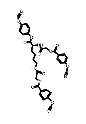 N#COc1ccc(OC(=O)C(CCCCNC(=O)COC(=O)c2ccc(OC#N)cc2)NC(=O)COC(=O)c2ccc(OC#N)cc2)cc1